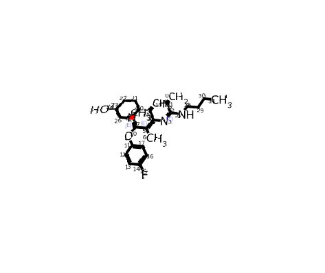 C=N\C(=N/C(=C(C)/C(=N\C)Oc1ccc(F)cc1)C(=C)[C@H]1CC[C@H](O)CC1)NCCCC